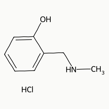 CNCc1ccccc1O.Cl